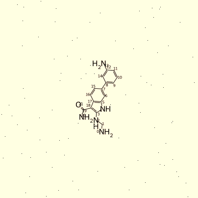 NCNc1[nH]c2cc(-c3cccc(N)c3)ccc2c1C(N)=O